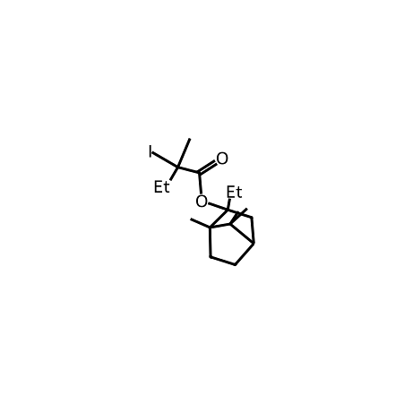 CCC(C)(I)C(=O)OC1(CC)CC2CCC1(C)C2(C)C